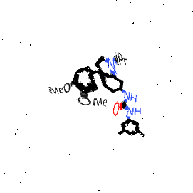 COc1ccc(C23CCC(NC(=O)Nc4cc(C)cc(C)c4)CC2N(C(C)C)CC3)cc1OC